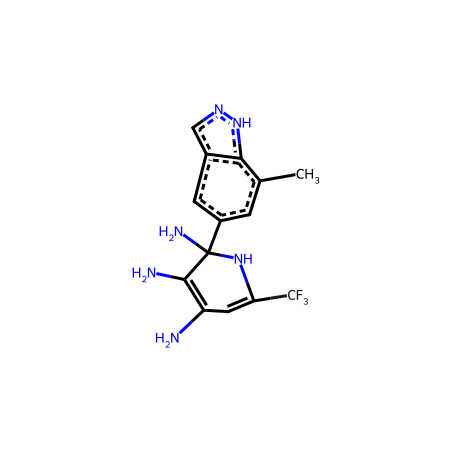 Cc1cc(C2(N)NC(C(F)(F)F)=CC(N)=C2N)cc2cn[nH]c12